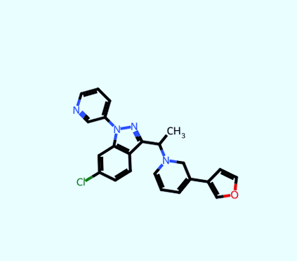 CC(c1nn(-c2cccnc2)c2cc(Cl)ccc12)N1C=CC=C(c2ccoc2)C1